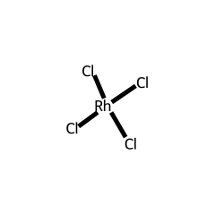 [Cl][Rh]([Cl])([Cl])[Cl]